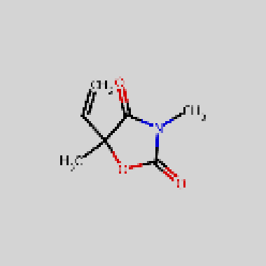 C=CC1(C)OC(=O)N(C)C1=O